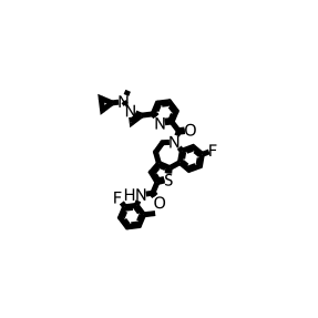 Cc1cccc(F)c1NC(=O)c1cc2c(s1)-c1ccc(F)cc1N(C(=O)c1cccc(C3=CN3N(C)C3CC3)n1)CC2